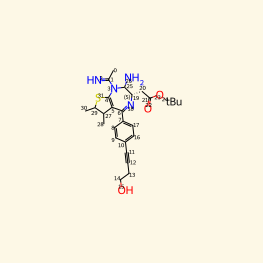 CC(=N)N1C2=C(C(c3ccc(C#CCCO)cc3)=N[C@@H](CC(=O)OC(C)(C)C)C1N)C(C)C(C)S2